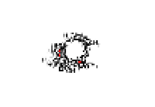 CC[C@H](C)[C@H]1[C@@H](O)CC(=O)O[C@@H](C(C)C)C(=O)[C@H](C)C(=O)N[C@@H](CC(C)C)C(=O)N2CCC[C@H]2C(=O)N(C)[C@@H](Cc2ccc(OC)cc2)C(=O)O[C@H](C)[C@H](NC(=O)[C@@H](CC(C)C)N(C)C(=O)[C@@H]2CCCN2C(=O)[C@H](C)O)C(=O)N1C(C)C